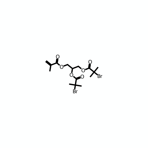 C=C(C)C(=O)OCC(COC(=O)C(C)(C)Br)OC(=O)C(C)(C)Br